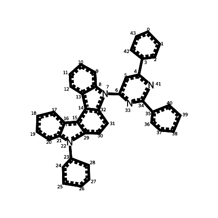 c1ccc(-c2cc(-n3c4ccccc4c4c5c6ccccc6n(-c6ccccc6)c5ccc43)nc(-c3ccccc3)n2)cc1